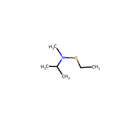 CCSN(C)C(C)C